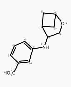 O=C(O)c1cccc(NC2COC3CC2C3)c1